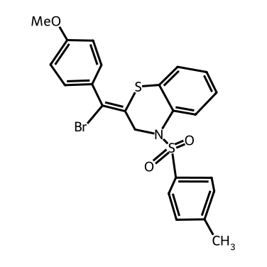 COc1ccc(/C(Br)=C2/CN(S(=O)(=O)c3ccc(C)cc3)c3ccccc3S2)cc1